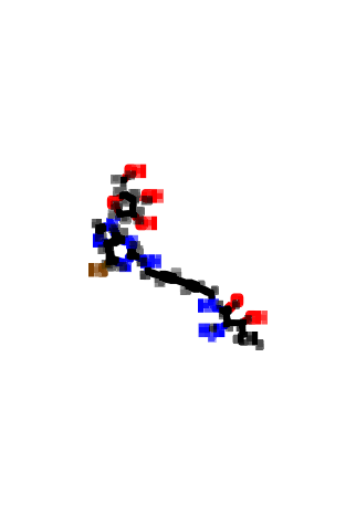 CC(O)C(N)C(=O)NCC#CC#CCNc1nc(S)c2ncn([C@@H]3O[C@H](CO)[C@H](O)C3O)c2n1